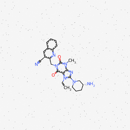 C=Cn1c(N2CCC[C@@H](N)C2)nc2c1c(=O)n(Cc1nc3ccccc3cc1C#N)c(=O)n2C